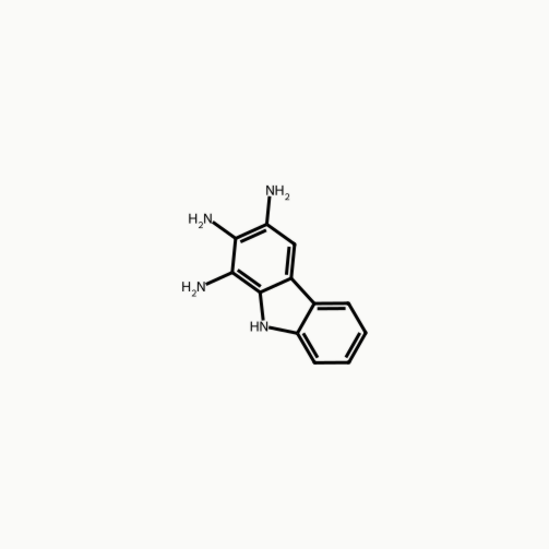 Nc1cc2c([nH]c3ccccc32)c(N)c1N